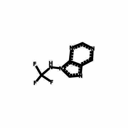 FC(F)(F)Nn1cnc2cncnc21